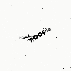 CCOC(=O)CC1(c2ccc(-c3ccc(-c4onc(C)c4NC(C)CCCO)cc3)cc2)CC1